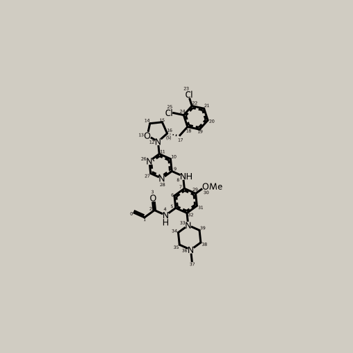 C=CC(=O)Nc1cc(Nc2cc(N3OCC[C@@H]3Cc3cccc(Cl)c3Cl)ncn2)c(OC)cc1N1CCN(C)CC1